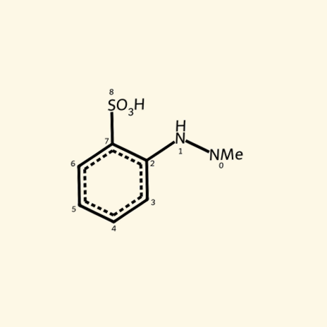 CNNc1ccccc1S(=O)(=O)O